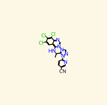 CC(Nc1ncnc2c(Cl)c(Cl)c(Cl)cc12)c1ncnn1-c1ccc(C#N)cn1